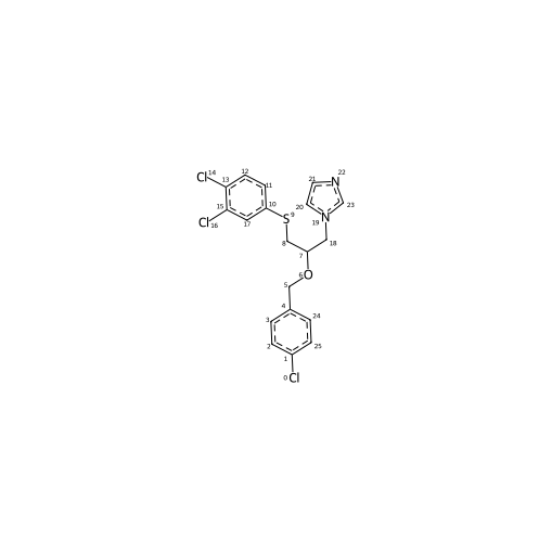 Clc1ccc(COC(CSc2ccc(Cl)c(Cl)c2)Cn2ccnc2)cc1